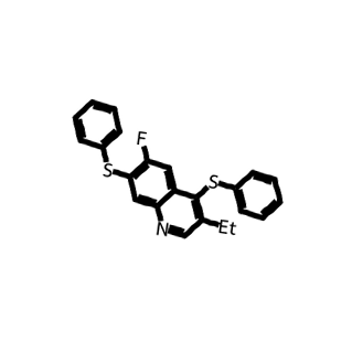 CCc1cnc2cc(Sc3ccccc3)c(F)cc2c1Sc1ccccc1